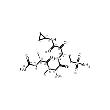 CCC[C@@H](C(=O)N[C@@H](CCS(N)(=O)=O)C(=O)C(=O)NC1CC1)N(C)C(=O)[C@@H](C)NC(=O)C(C)(C)C